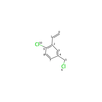 C=Cc1cc(CCl)ccc1Cl